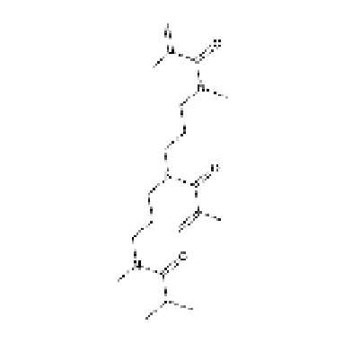 C=C(C)C(=O)N(C)CCCN(CCCN(C)C(=O)C(C)C)C(=O)C(=C)C